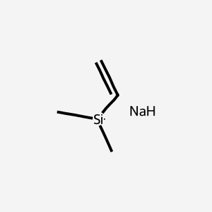 C=C[Si](C)C.[NaH]